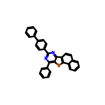 c1ccc(-c2ccc(-c3nc(-c4ccccc4)c4sc5c6ccccc6ccc5c4n3)cc2)cc1